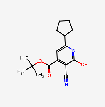 CC(C)(C)OC(=O)c1cc(C2CCCC2)nc(O)c1C#N